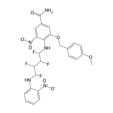 COc1ccc(COc2cc(C(N)=O)cc([N+](=O)[O-])c2NC(F)C(F)C(F)C(F)Nc2ccccc2[N+](=O)[O-])cc1